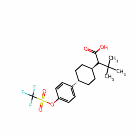 CC(C)(C)C(C(=O)O)[C@H]1CC[C@H](c2ccc(OS(=O)(=O)C(F)(F)F)cc2)CC1